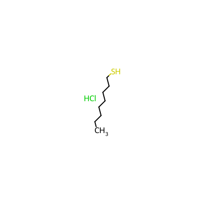 CCCCCCCCS.Cl